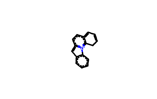 C1=CCc2c(ccc3[n+]2-c2ccccc2C=3)=C1